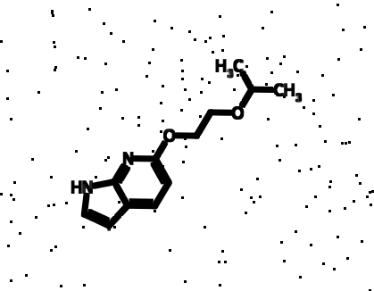 CC(C)OCCOc1ccc2[c]c[nH]c2n1